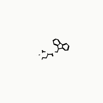 CC(C)(C)OC(=O)NC(CCC(=O)O)C(=O)OCC1c2ccccc2-c2ccccc21